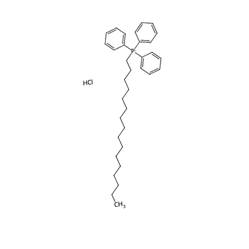 CCCCCCCCCCCCCCCC[P](c1ccccc1)(c1ccccc1)c1ccccc1.Cl